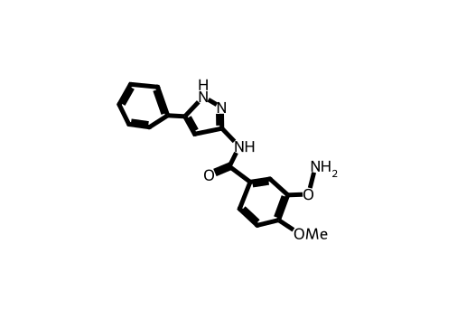 COc1ccc(C(=O)Nc2cc(-c3ccccc3)[nH]n2)cc1ON